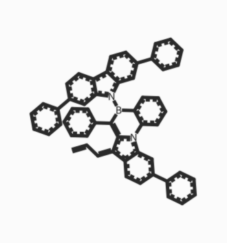 C=C/C=c1\c2n(c3cc(-c4ccccc4)ccc13)-c1ccccc1B(n1c3cc(-c4ccccc4)ccc3c3ccc(-c4ccccc4)cc31)C=2c1ccccc1